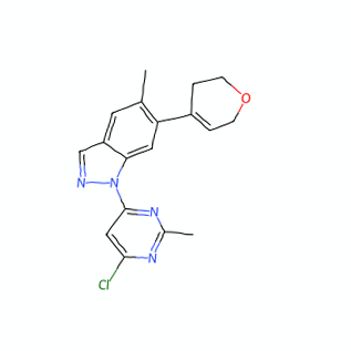 Cc1nc(Cl)cc(-n2ncc3cc(C)c(C4=CCOCC4)cc32)n1